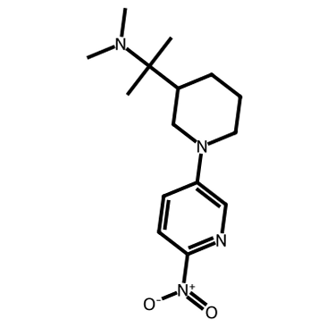 CN(C)C(C)(C)C1CCCN(c2ccc([N+](=O)[O-])nc2)C1